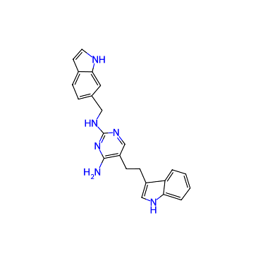 Nc1nc(NCc2ccc3cc[nH]c3c2)ncc1CCc1c[nH]c2ccccc12